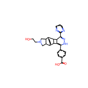 O=C(O)c1ccc(C2=C3C(C(c4ncccn4)=NN2)C2C4C=CC(C5CN(CCO)CC45)C32)cc1